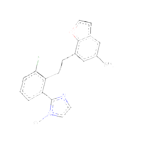 Bc1cc(CCc2c(F)cccc2-c2nccn2C(C)C)c2occc2c1